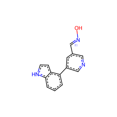 O/N=C/c1cncc(-c2cccc3[nH]ccc23)c1